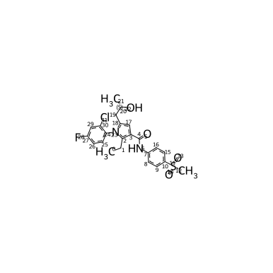 CCc1c(C(=O)Nc2ccc(S(C)(=O)=O)cc2)cc(C[C@H](C)O)n1-c1ccc(F)cc1Cl